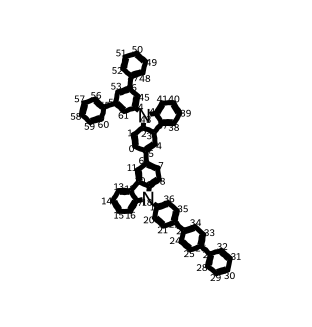 C1=CC2C(C=C1c1ccc3c(c1)c1ccccc1n3-c1ccc(-c3ccc(-c4ccccc4)cc3)cc1)c1ccccc1N2c1cc(-c2ccccc2)cc(-c2ccccc2)c1